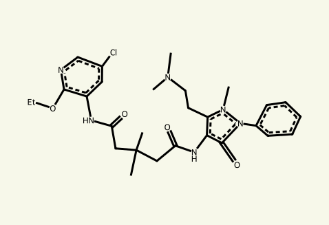 CCOc1ncc(Cl)cc1NC(=O)CC(C)(C)CC(=O)Nc1c(CCN(C)C)n(C)n(-c2ccccc2)c1=O